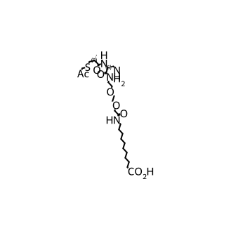 CC(=O)CSC[C@H](C)C(=O)N[C@@H](CN)C(=O)NCCOCCOCC(=O)NCCCCCCCCCCC(=O)O